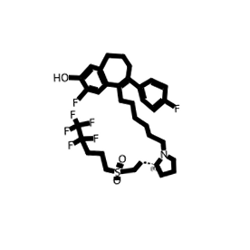 O=S(=O)(CCCC(F)(F)C(F)(F)F)CC[C@H]1CCCN1CCCCCCC1=C(c2ccc(F)cc2)CCCc2cc(O)c(F)cc21